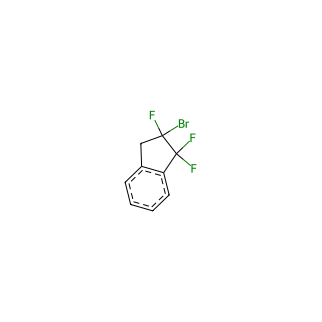 FC1(Br)Cc2ccccc2C1(F)F